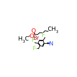 CCCCCCC(=O)OCC.N#Cc1cc(CF)c(CF)c(Br)c1CF